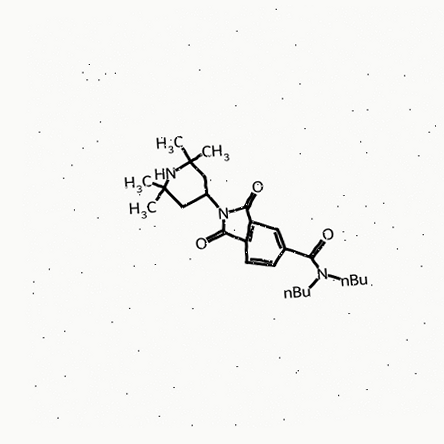 CCCCN(CCCC)C(=O)c1ccc2c(c1)C(=O)N(C1CC(C)(C)NC(C)(C)C1)C2=O